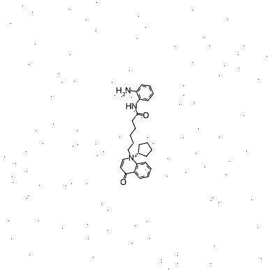 Nc1ccccc1NC(=O)CCCCC[N+]1(C2CCCC2)C=CC(=O)c2ccccc21